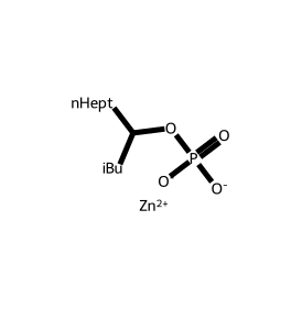 CCCCCCCC(OP(=O)([O-])[O-])C(C)CC.[Zn+2]